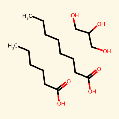 CCCCCC(=O)O.CCCCCCCC(=O)O.OCC(O)CO